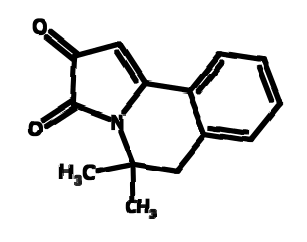 CC1(C)Cc2ccccc2C2=CC(=O)C(=O)N21